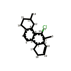 Cc1c2c(c3ccc4c(c3c1Cl)CC(C)CC4)CCC=C2